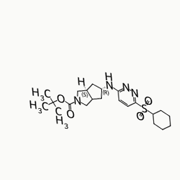 CC(C)(C)OC(=O)N1CC2C[C@@H](Nc3ccc(S(=O)(=O)C4CCCCC4)nn3)C[C@@H]2C1